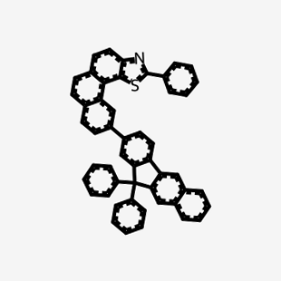 c1ccc(-c2nc3ccc4ccc5ccc(-c6ccc7c(c6)C(c6ccccc6)(c6ccccc6)c6cc8ccccc8cc6-7)cc5c4c3s2)cc1